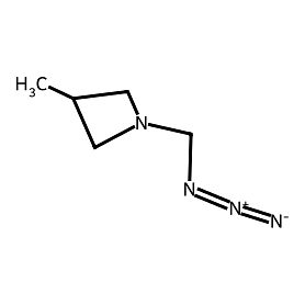 CC1CN(CN=[N+]=[N-])C1